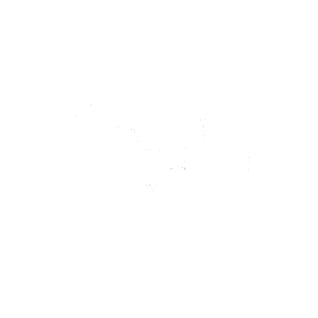 Cc1nc([S+]([O-])CCC(F)=C(F)F)sc1/C=N/OCC1CC1